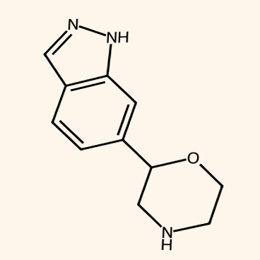 c1cc2cn[nH]c2cc1C1CNCCO1